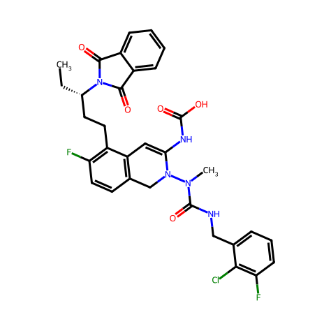 CC[C@@H](CCc1c(F)ccc2c1C=C(NC(=O)O)N(N(C)C(=O)NCc1cccc(F)c1Cl)C2)N1C(=O)c2ccccc2C1=O